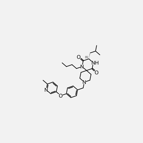 CCCCN1C(=O)[C@H](CC(C)C)NC(=O)C12CCN(Cc1ccc(Oc3ccc(C)nc3)cc1)CC2